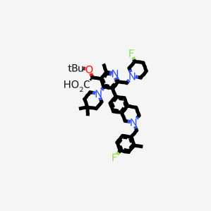 Cc1cc(F)ccc1CN1CCc2cc(-c3c(CN4CCCC(F)C4)nc(C)c([C@H](OC(C)(C)C)C(=O)O)c3N3CCC(C)(C)CC3)ccc2C1